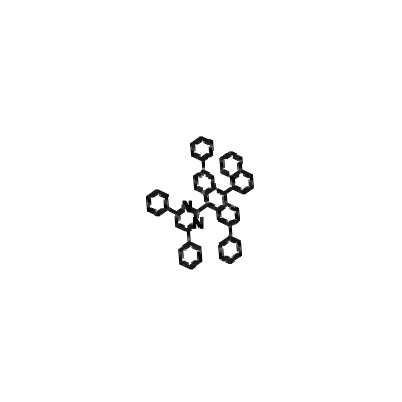 c1ccc(-c2ccc3c(-c4cccc5ccccc45)c4cc(-c5ccccc5)ccc4c(-c4nc(-c5ccccc5)cc(-c5ccccc5)n4)c3c2)cc1